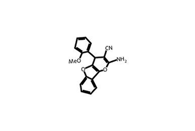 COc1ccccc1C1C(C#N)=C(N)Oc2c1oc1ccccc21